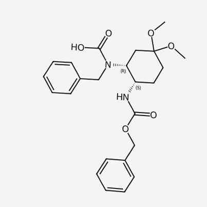 COC1(OC)CC[C@H](NC(=O)OCc2ccccc2)[C@H](N(Cc2ccccc2)C(=O)O)C1